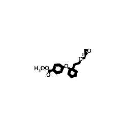 COC(=O)c1ccc(Oc2ccccc2CCOC[C@H]2CO2)cc1